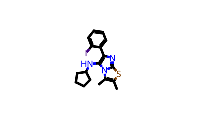 Cc1sc2nc(-c3ccccc3I)c(NC3CCCC3)n2c1C